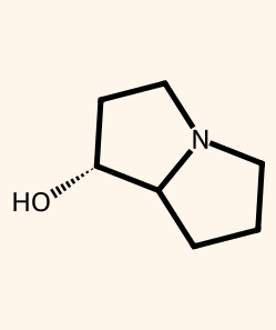 O[C@@H]1CCN2CCCC12